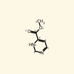 COC(=O)C1=CC=NCN1